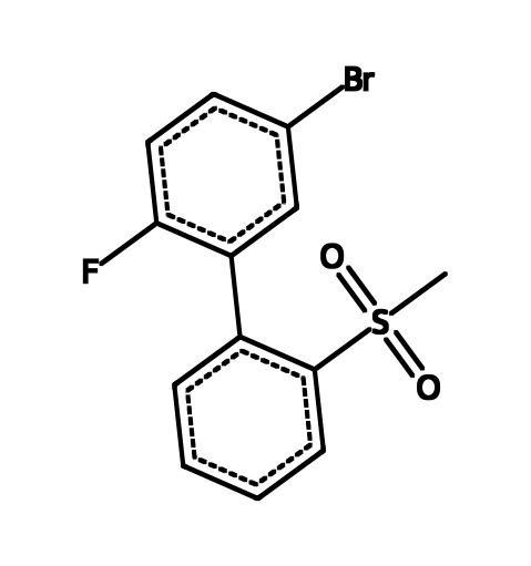 CS(=O)(=O)c1ccccc1-c1cc(Br)ccc1F